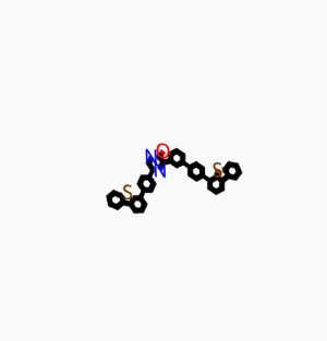 c1ccc2c(c1)sc1c(-c3ccc(-c4ccc5oc6ncc(-c7ccc(-c8cccc9c8sc8ccccc89)cc7)nc6c5c4)cc3)cccc12